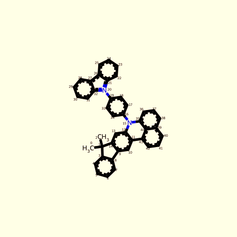 CC1(C)c2ccccc2-c2cc3c(cc21)N(c1ccc(-n2c4ccccc4c4ccccc42)cc1)c1cccc2cccc-3c12